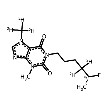 [2H]C([2H])(CCCn1c(=O)c2c(ncn2C([2H])([2H])[2H])n(C)c1=O)[C@@H](C)F